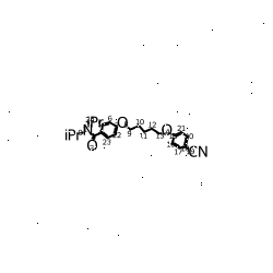 CC(C)N(C(=O)c1ccc(OCCCCCOc2ccc(C#N)cc2)cc1)C(C)C